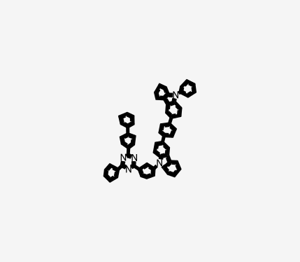 c1ccc(-c2ccc(-c3nc(-c4ccccc4)nc(-c4cccc(-n5c6ccccc6c6cc(-c7ccc(-c8ccc9c(c8)c8ccccc8n9-c8ccccc8)cc7)ccc65)c4)n3)cc2)cc1